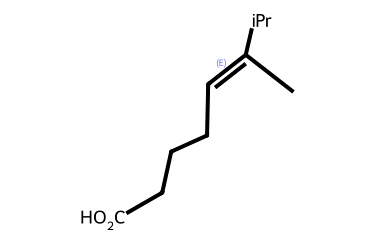 C/C(=C\CCCC(=O)O)C(C)C